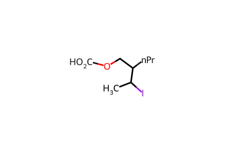 CCCC(COC(=O)O)C(C)I